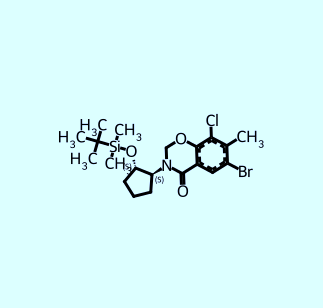 Cc1c(Br)cc2c(c1Cl)OCN([C@H]1CCC[C@@H]1O[Si](C)(C)C(C)(C)C)C2=O